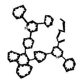 C=C(/C=C\C=C/C)c1cc(-c2ccccc2)nc(-c2ccc(-c3c(-c4ccc(-c5cc(-c6ccccc6)cc(-c6ccccc6)n5)cc4)c4ccccc4c4ccccc34)cc2)c1